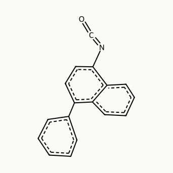 O=C=Nc1ccc(-c2ccccc2)c2ccccc12